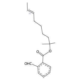 C/C=C/CCCCC(C)(C)OC(=O)c1ccccc1C=O